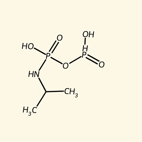 CC(C)NP(=O)(O)O[PH](=O)O